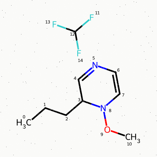 CCCC1C=NC=CN1OC.FC(F)F